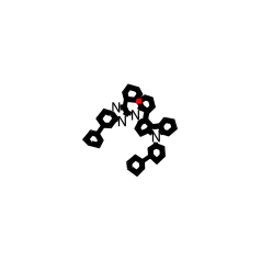 c1ccc(-c2cccc(-n3c4ccccc4c4c5c6ccccc6n(-c6nc7cc(-c8ccccc8)ccc7nc6-c6ccccc6)c5ccc43)c2)cc1